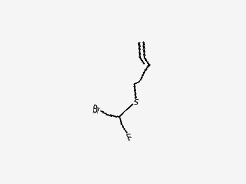 C=CCSC(F)Br